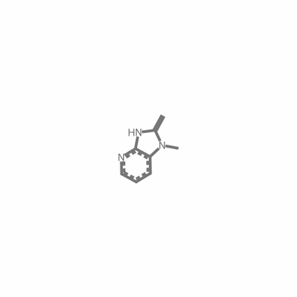 C=C1Nc2ncccc2N1C